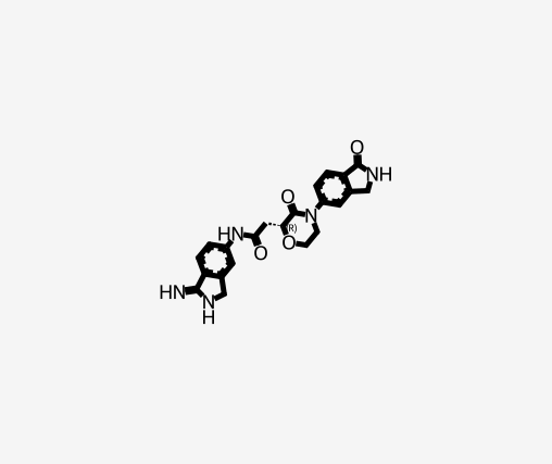 N=C1NCc2cc(NC(=O)C[C@H]3OCCN(c4ccc5c(c4)CNC5=O)C3=O)ccc21